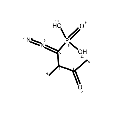 CC(=O)C(C)C(=[N+]=[N-])P(=O)(O)O